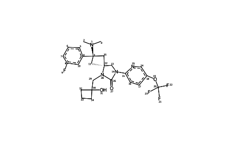 CN(C)[C@]1(c2cccc(F)c2)C[C@@]2(CN(c3ccc(OC(F)(F)F)cn3)C(=O)N2CC2(O)CCC2)C1